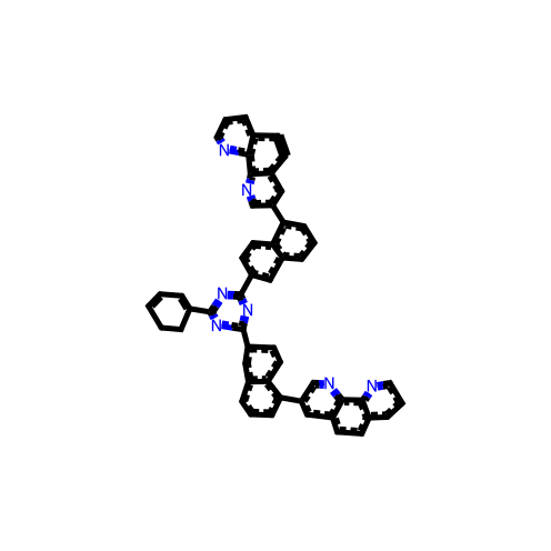 c1c2cccnc2c2ncc(-c3cccc4cc(-c5nc(C6=CC=CCC6)nc(-c6ccc7c(-c8cnc9c(ccc%10cccnc%109)c8)cccc7c6)n5)ccc34)cc2c#1